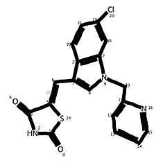 O=C1NC(=O)/C(=C/c2cn(Cc3ccccn3)c3cc(Cl)ccc23)S1